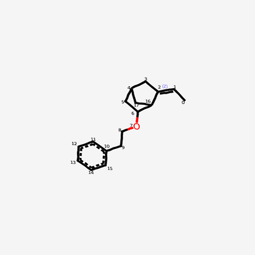 C/C=C1/CC2CC(OCCc3ccccc3)C1C2